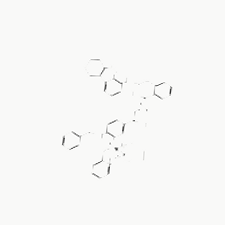 CS(=O)(=O)N(Cc1ccccc1)c1cc(C(=O)CNC(=O)c2ccccc2CCOc2cccc3c4c(sc23)CCCC4)ccc1OCc1ccccc1